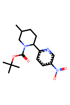 CC1CCC(c2ccc([N+](=O)[O-])cn2)N(C(=O)OC(C)(C)C)C1